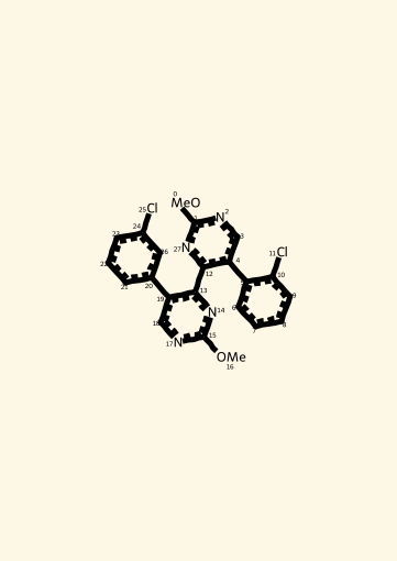 COc1n[c]c(-c2ccccc2Cl)c(-c2nc(OC)ncc2-c2cccc(Cl)c2)n1